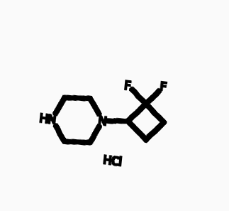 Cl.FC1(F)CCC1N1CCNCC1